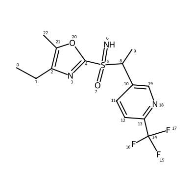 CCc1nc(S(=N)(=O)C(C)c2ccc(C(F)(F)F)nc2)oc1C